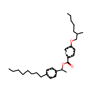 CCCCCCCCc1ccc(C(C)OC(=O)c2ccc(OCC(C)CCCCC)cc2)cc1